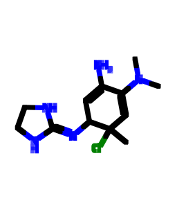 CN(C)C1=CC(C)(Cl)C(N=C2NCCN2)C=C1N